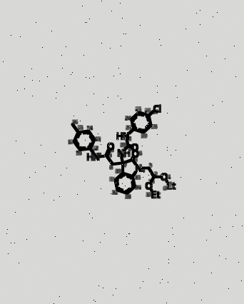 CCOC(CN1C(=O)C(CC(=O)Nc2ccc(C)cc2)(NC(=O)Nc2ccc(Cl)cc2)c2ccccc21)OCC